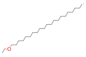 [CH2]CCCCCCCCCCCCCCCCCCCCOCC